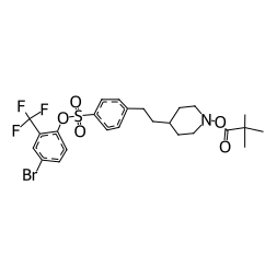 CC(C)(C)C(=O)ON1CCC(CCc2ccc(S(=O)(=O)Oc3ccc(Br)cc3C(F)(F)F)cc2)CC1